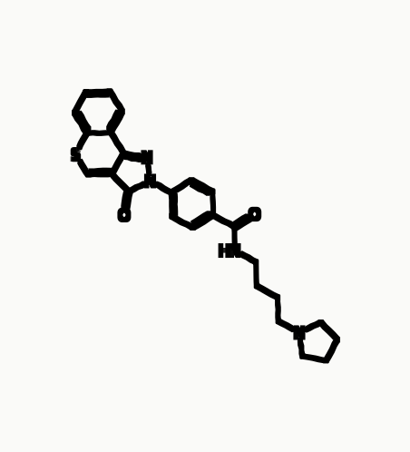 O=C(NCCCCN1CCCC1)c1ccc(-n2nc3c4ccccc4scc-3c2=O)cc1